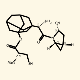 CN[C@@H](CS)C(=O)OC12CC3CC(C1)CC([C@H](N)C(=O)N1[C@H](C#N)C[C@@H]4C[C@@H]41)(C3)C2